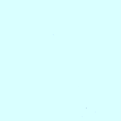 CC1(C)CCC(NCc2ccc(-c3cccc(C(=O)NCCCc4ccccc4)c3)cc2)CC1